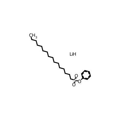 CCCCCCCCCCCCCCCCS(=O)(=O)Oc1ccccc1.[LiH]